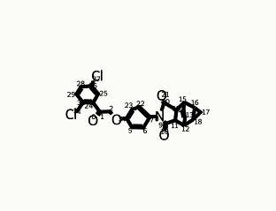 O=C(COc1ccc(N2C(=O)C3C4C=CC(C5CC45)C3C2=O)cc1)c1cc(Cl)ccc1Cl